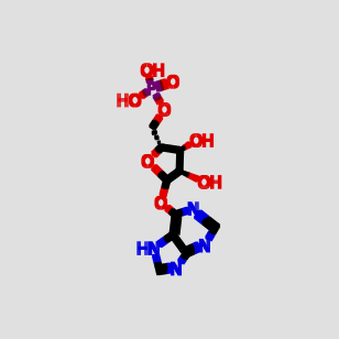 O=P(O)(O)OC[C@H]1OC(Oc2ncnc3nc[nH]c23)[C@H](O)[C@@H]1O